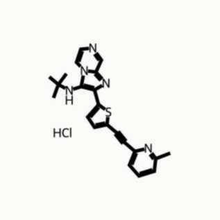 Cc1cccc(C#Cc2ccc(-c3nc4cnccn4c3NC(C)(C)C)s2)n1.Cl